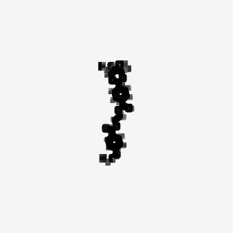 COc1ccc(C(=O)OCCOC(=O)c2ccc(C3OCC(C)(C)CO3)cc2)cc1